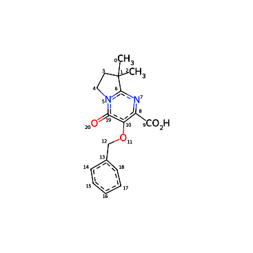 CC1(C)CCn2c1nc(C(=O)O)c(OCc1ccccc1)c2=O